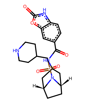 O=C(NC1C[C@H]2CC[C@@H](C1)N2S(=O)(=O)CC1CCNCC1)c1ccc2[nH]c(=O)oc2c1